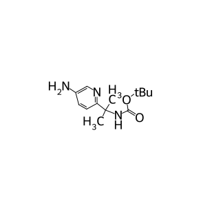 CC(C)(C)OC(=O)NC(C)(C)c1ccc(N)cn1